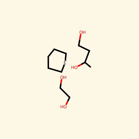 C1CCCCC1.CC(O)CCO.OCCO